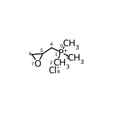 C[P+](C)(C)CC1CO1.[Cl-]